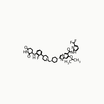 CC(C)Oc1cc2nc([C@H]3CC[C@H](CN4CCC(c5cccc(NC6CCC(=O)NC6=O)c5F)CC4)CC3)cn2cc1C(=O)Nc1cccc(C(F)F)n1